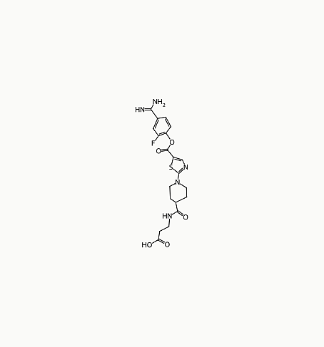 N=C(N)c1ccc(OC(=O)c2cnc(N3CCC(C(=O)NCCC(=O)O)CC3)s2)c(F)c1